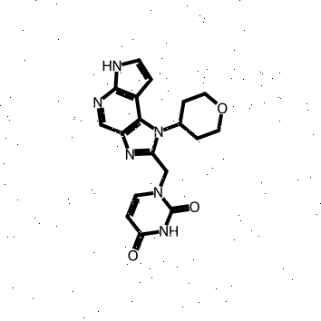 O=c1ccn(Cc2nc3cnc4[nH]ccc4c3n2C2CCOCC2)c(=O)[nH]1